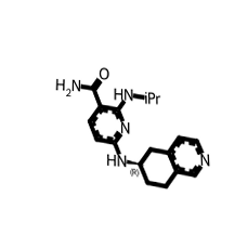 CC(C)Nc1nc(N[C@@H]2CCc3cnccc3C2)ccc1C(N)=O